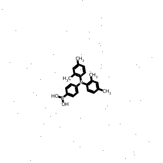 Cc1ccc(N(c2ccc(B(O)O)cc2)c2ccc(C)cc2C)c(C)c1